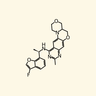 Cc1nc(N[C@H](C)c2cccc3c(F)coc23)c2cc3c(cc2n1)OCC1COCCN31